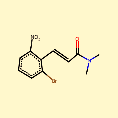 CN(C)C(=O)C=Cc1c(Br)cccc1[N+](=O)[O-]